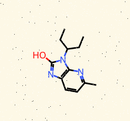 CCC(CC)n1c(O)nc2ccc(C)nc21